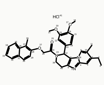 CCc1cc2nc3c(n2cc1C)C(c1ccc(OC)c(OC)c1)N(C(=O)COc1ccc2ccccc2c1C)CC3.Cl